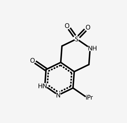 CC(C)c1n[nH]c(=O)c2c1CNS(=O)(=O)C2